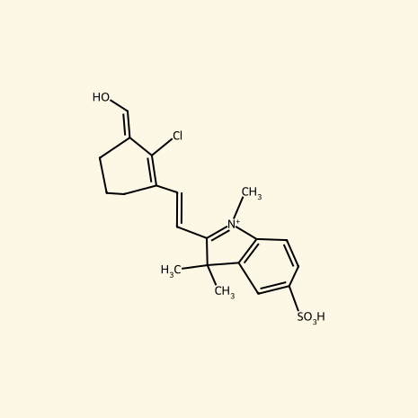 C[N+]1=C(/C=C/C2=C(Cl)C(=C/O)/CCC2)C(C)(C)c2cc(S(=O)(=O)O)ccc21